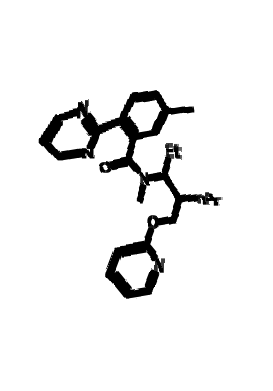 CCCC(COc1ccccn1)C(CC)N(C)C(=O)c1cc(C)ccc1-c1ncccn1